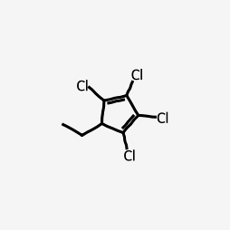 CCC1C(Cl)=C(Cl)C(Cl)=C1Cl